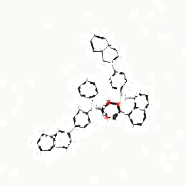 C1=CC2=CC=C(c3ccc(N(c4ccccc4)c4cccc5cccc(-c6ccc(N(c7ccccc7)c7ccc(-c8ccc9ccccc9c8)cc7)cc6)c45)cc3)CC2C=C1